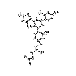 Cc1ccc(-c2nc(-c3ccc(C)cc3C)nc(-c3ccc(OCC(O)CO[I+2]([O-])[O-])cc3O)n2)c(C)c1